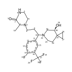 CC1C(=O)NCCN1CCC(c1ccc(F)c(C(F)(F)F)c1)N1CCC2(CC2)[C@H](O)C1